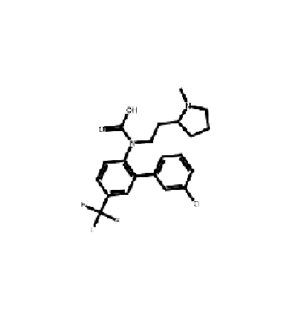 CN1CCCC1CCN(C(=O)O)c1ccc(C(F)(F)F)cc1-c1cccc(Cl)c1